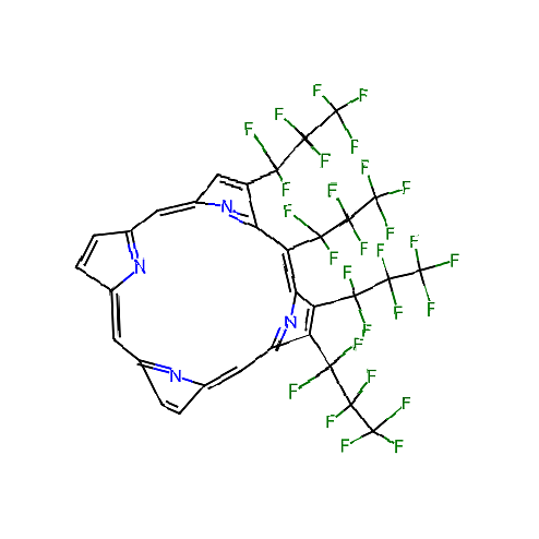 FC(F)(F)C(F)(F)C(F)(F)C1=CC2=CC3=NC(=CC4=NC(=CC5=NC(=C(C(F)(F)C(F)(F)C(F)(F)F)C1=N2)C(C(F)(F)C(F)(F)C(F)(F)F)=C5C(F)(F)C(F)(F)C(F)(F)F)C=C4)C=C3